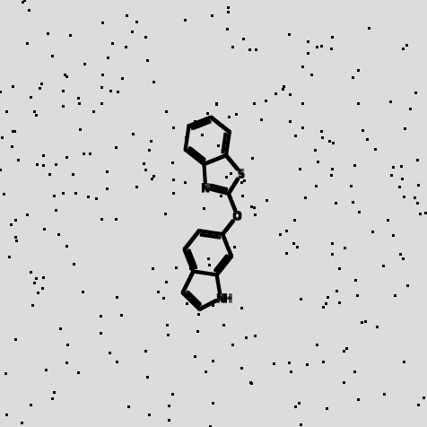 c1ccc2sc(Oc3ccc4cc[nH]c4c3)nc2c1